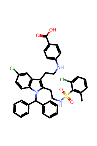 Cc1cccc(Cl)c1S(=O)(=O)NCCc1c(CCNc2ccc(C(=O)O)cc2)c2cc(Cl)ccc2n1C(c1ccccc1)c1ccccc1